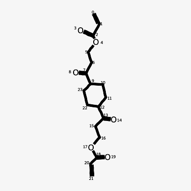 C=CC(=O)OCCC(=O)C1CCC(C(=O)CCOC(=O)C=C)CC1